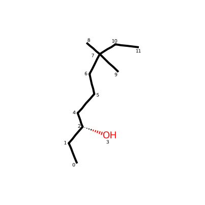 CC[C@@H](O)CCCC(C)(C)CC